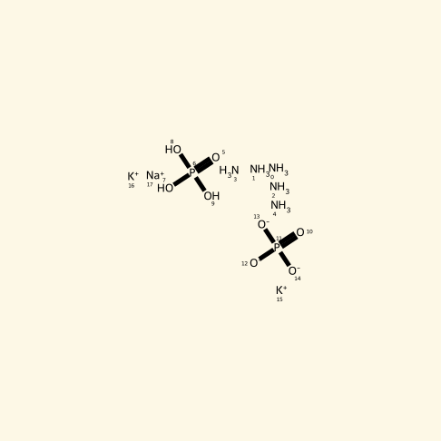 N.N.N.N.N.O=P(O)(O)O.O=P([O-])([O-])[O-].[K+].[K+].[Na+]